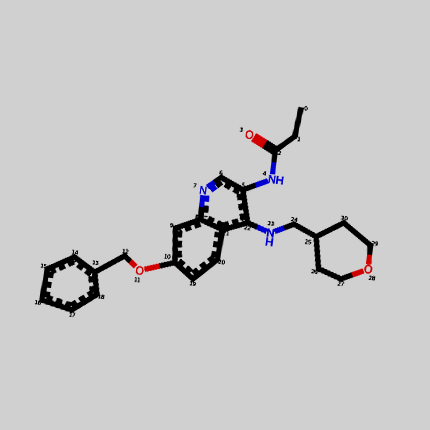 CCC(=O)Nc1cnc2cc(OCc3ccccc3)ccc2c1NCC1CCOCC1